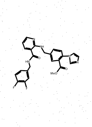 COC(=O)c1cc(CNc2ncccc2C(=O)NCc2ccc(F)c(F)c2)ccc1-n1ccnc1